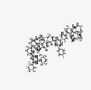 c1ccc(-c2nc(-c3ccc(-c4ccc5c(c4)C4(c6ccccc6S5)c5ccccc5-c5ccccc54)nc3)nc(-c3cccc(-c4ccc5c(c4)C4(c6ccccc6Sc6ccc(-c7cccc(-c8nc(-c9ccccc9)nc(-c9ccccc9)n8)n7)cc64)c4ccccc4-5)c3)n2)cc1